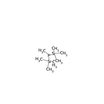 CP([Si](C)(C)C)[Si](C)(C)C